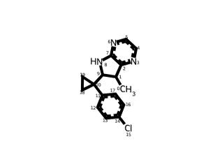 CC1c2nccnc2NC1C1(c2ccc(Cl)cc2)CC1